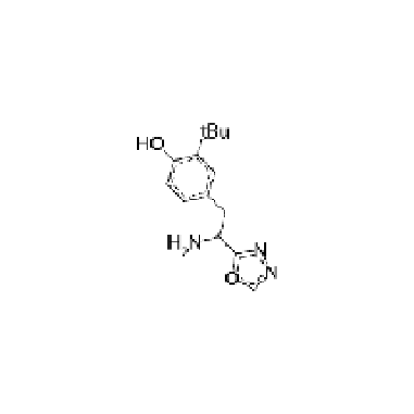 CC(C)(C)c1cc(CC(N)c2nnco2)ccc1O